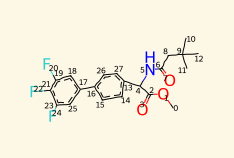 COC(=O)C(NC(=O)CC(C)(C)C)c1ccc(-c2cc(F)c(F)c(F)c2)cc1